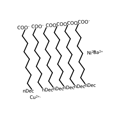 CCCCCCCCCCCCCCCCCC(=O)[O-].CCCCCCCCCCCCCCCCCC(=O)[O-].CCCCCCCCCCCCCCCCCC(=O)[O-].CCCCCCCCCCCCCCCCCC(=O)[O-].CCCCCCCCCCCCCCCCCC(=O)[O-].CCCCCCCCCCCCCCCCCC(=O)[O-].[Ba+2].[Cu+2].[Ni+2]